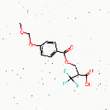 COCOc1ccc(C(=O)OCC(C(=O)O)C(F)(F)F)cc1